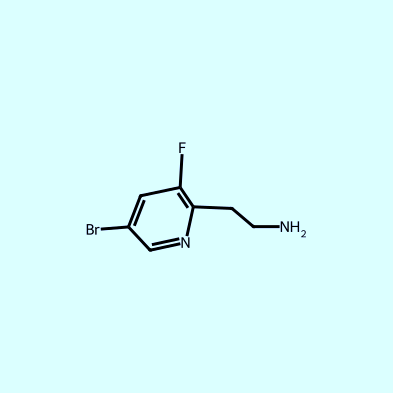 NCCc1ncc(Br)cc1F